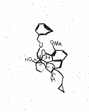 COc1ccc2c3c1O[C@H]1[C@@]4(O)CC[C@@]5(C[C@@H]4COCc4ccccc4)[C@@H](C2)N(CC2CC2)CC[C@]315